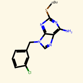 CCCCSc1nc(N)c2ncn(Cc3cccc(Cl)c3)c2n1